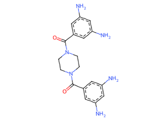 Nc1cc(N)cc(C(=O)N2CCN(C(=O)c3cc(N)cc(N)c3)CC2)c1